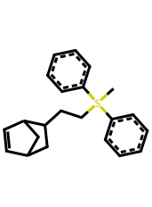 CS(CCC1CC2C=CC1C2)(c1ccccc1)c1ccccc1